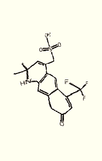 CC1(C)C=C(CS(=O)(=O)O)c2cc3c(cc2N1)CC(=O)C=C3C(F)(F)F